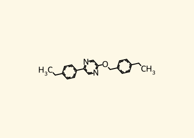 CCc1ccc(COc2cnc(-c3ccc(CC)cc3)cn2)cc1